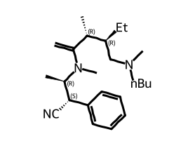 C=C([C@H](C)[C@@H](CC)CN(C)CCCC)N(C)[C@H](C)[C@@H](C#N)c1ccccc1